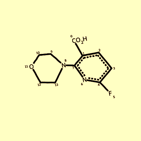 O=C(O)c1ccc(F)nc1N1CCOCC1